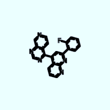 Fc1ccccc1-c1cc(-c2ncnc3cnccc23)c2cccnc2n1